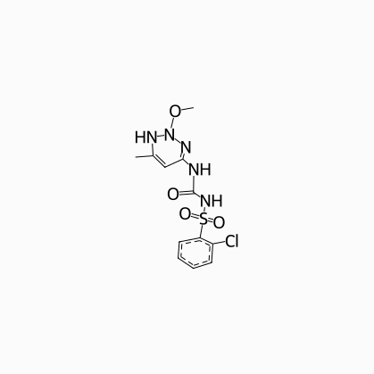 CON1N=C(NC(=O)NS(=O)(=O)c2ccccc2Cl)C=C(C)N1